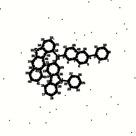 c1ccc(-c2ccc3cc(N(c4ccc5c6ccccc6n(-c6ccccc6)c5c4)c4cccc5sc6cc7ccccc7cc6c45)ccc3c2)cc1